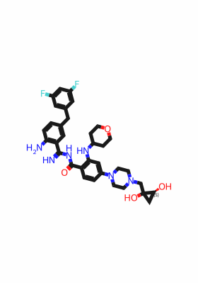 N=C(NC(=O)c1ccc(N2CCN(CC3(O)C[C@@H]3O)CC2)cc1NC1CCOCC1)c1cc(Cc2cc(F)cc(F)c2)ccc1N